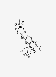 C=Cc1cc2cnc(NC3CCN(S(C)(=O)=O)CC3)nc2n(C2CCCC23CC3)c1=O